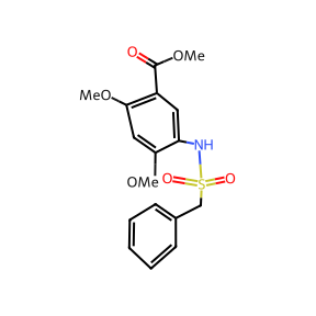 COC(=O)c1cc(NS(=O)(=O)Cc2ccccc2)c(OC)cc1OC